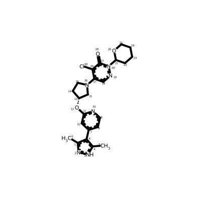 Cc1n[nH]c(C)c1-c1ccnc(O[C@@H]2CCN(c3cnn(C4CCCCO4)c(=O)c3Cl)C2)c1